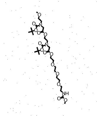 COCCN(CC(=O)OCCN(CC(=O)OCCOCCOCCOCCNC(=O)OC)C(=O)OC(C)(C)C)C(=O)OC(C)(C)C